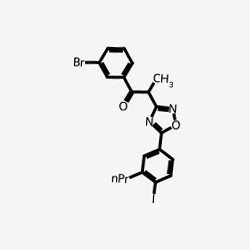 CCCc1cc(-c2nc(C(C)C(=O)c3cccc(Br)c3)no2)ccc1I